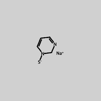 [Na+].[S-]N1C=CC=NC1